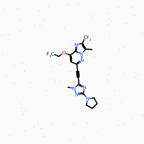 Cc1c(C(F)(F)F)nc2c(OCC(F)(F)F)cc(C#Cc3nc(N4CCCC4)nn3C)nn12